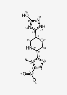 Cn1c([N+](=O)[O-])cnc1C1COC(c2nc(O)n[nH]2)CN1